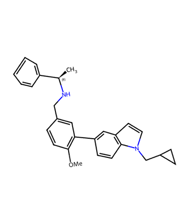 COc1ccc(CN[C@H](C)c2ccccc2)cc1-c1ccc2c(ccn2CC2CC2)c1